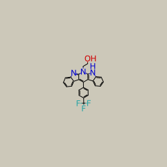 OCCn1c2nc3ccccc3c-2c(-c2ccc(C(F)(F)F)cc2)c2c3ccccc3[nH]c21